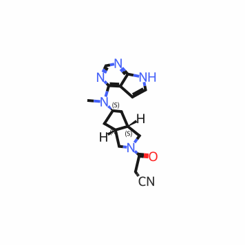 CN(c1ncnc2[nH]ccc12)[C@H]1C[C@@H]2CN(C(=O)CC#N)C[C@@H]2C1